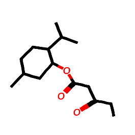 CCC(=O)CC(=O)OC1CC(C)CCC1C(C)C